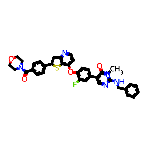 Cn1c(NCc2ccccc2)ncc(-c2ccc(Oc3ccnc4c3SC(c3ccc(C(=O)N5CCOCC5)cc3)C4)c(F)c2)c1=O